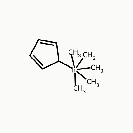 [CH3][Ir]([CH3])([CH3])([CH3])([CH3])[CH]1C=CC=C1